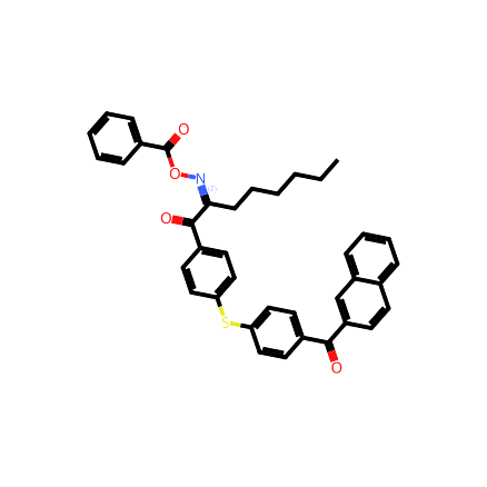 CCCCCC/C(=N/OC(=O)c1ccccc1)C(=O)c1ccc(Sc2ccc(C(=O)c3ccc4ccccc4c3)cc2)cc1